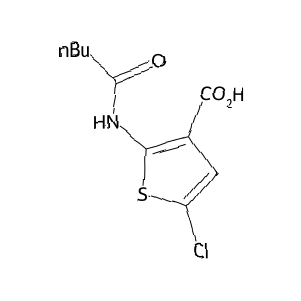 CCCCC(=O)Nc1sc(Cl)cc1C(=O)O